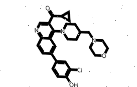 O=C(c1cnc2ccc(-c3ccc(O)c(Cl)c3)cc2c1N1CCC(CN2CCOCC2)CC1)C1CC1